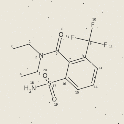 CCN(CC)C(=O)c1c(C(F)(F)F)cccc1S(N)(=O)=O